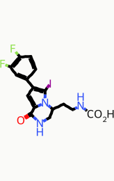 O=C(O)NCCC1CNC(=O)c2cc(-c3ccc(F)c(F)c3)c(I)n21